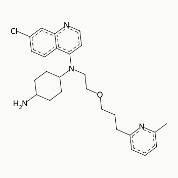 Cc1cccc(CCCOCCN(c2ccnc3cc(Cl)ccc23)C2CCC(N)CC2)n1